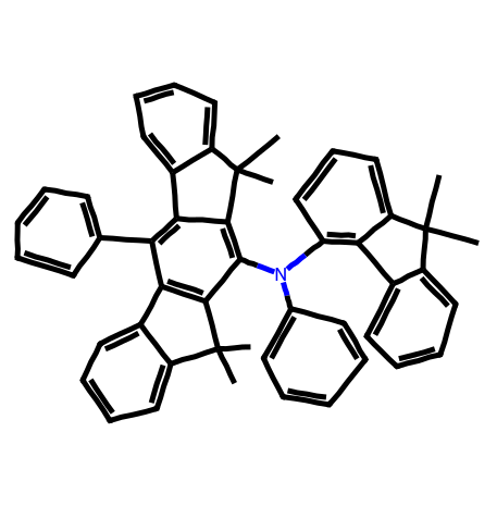 CC1(C)c2ccccc2-c2c(N(c3ccccc3)c3c4c(c(-c5ccccc5)c5c3C(C)(C)c3ccccc3-5)-c3ccccc3C4(C)C)cccc21